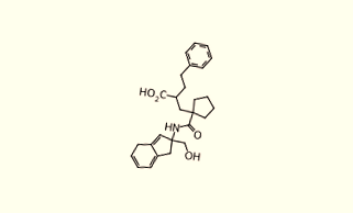 O=C(O)C(CCc1ccccc1)CC1(C(=O)NC2(CO)C=C3CC=CC=C3C2)CCCC1